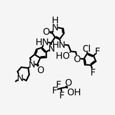 CN1CCC(N2Cc3cc4[nH]c(-c5c(NC[C@@H](O)COc6cc(F)cc(F)c6Cl)cc[nH]c5=O)nc4cc3C2=O)CC1.O=C(O)C(F)(F)F